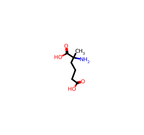 CC(N)(CCCC(=O)O)C(=O)O